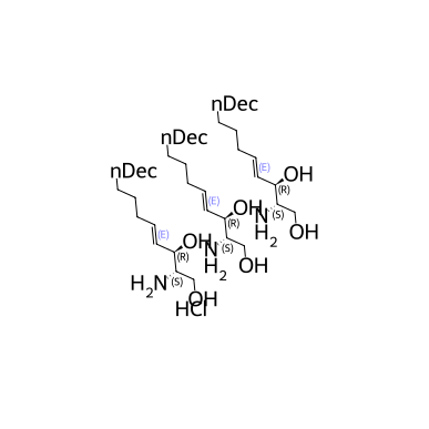 CCCCCCCCCCCCC/C=C/[C@@H](O)[C@@H](N)CO.CCCCCCCCCCCCC/C=C/[C@@H](O)[C@@H](N)CO.CCCCCCCCCCCCC/C=C/[C@@H](O)[C@@H](N)CO.Cl